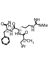 CNC(=N)NCCC[C@H](NC(=O)[C@@H](C)CC(C)C)C(=O)N[C@@H](Cc1ccccc1)C(N)=O